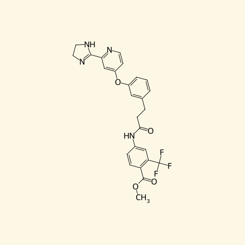 COC(=O)c1ccc(NC(=O)CCc2cccc(Oc3ccnc(C4=NCCN4)c3)c2)cc1C(F)(F)F